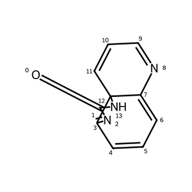 O=C1N=C2C=CC=C3N=CC=CC32N1